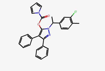 Cc1ccc(C(C)n2nc(-c3ccccc3)c(-c3ccccc3)c2OC(=O)n2cccc2)cc1Cl